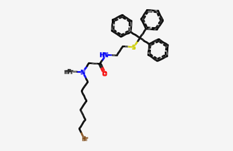 CCCN(CCCCCCBr)CC(=O)NCCSC(c1ccccc1)(c1ccccc1)c1ccccc1